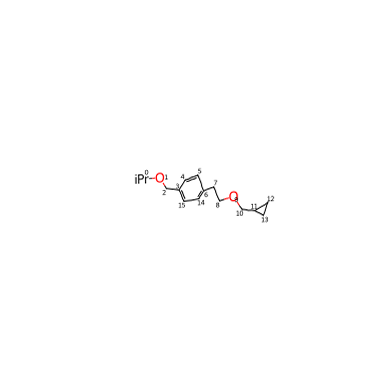 CC(C)OCc1ccc(CCOCC2CC2)cc1